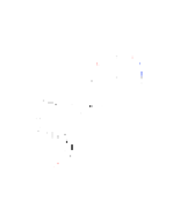 Cc1noc(C)c1CC1C(=O)CC[C@@H]2[C@H]1CC[C@]1(C)C(=O)CC[C@@H]21